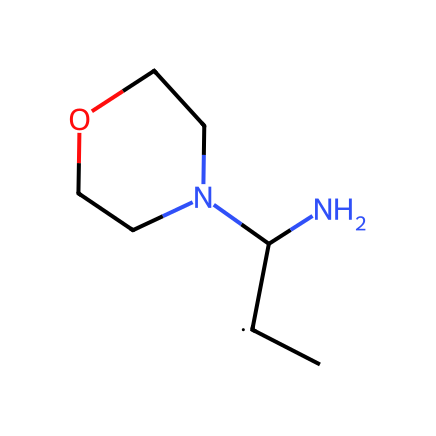 C[CH]C(N)N1CCOCC1